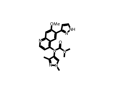 COc1cc2nccc(N(C(=O)N(C)C)c3cn(C)nc3C)c2cc1-c1cc[nH]n1